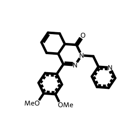 COc1ccc(C2=NN(Cc3ccccn3)C(=O)C3CC=CCC23)cc1OC